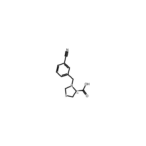 N#Cc1cccc(CN2CSC[C@@H]2C(=O)O)c1